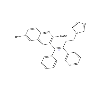 COc1nc2ccc(Br)cc2cc1/C(=C(\CCn1ccnc1)c1ccccc1)c1ccccc1